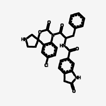 O=C1Cc2ccc(C(=O)NC(Cc3ccccc3)C(=O)N3C(=O)OC4(CCNC4)c4cc(Cl)ccc43)cc2N1